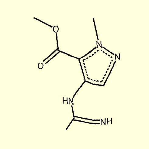 COC(=O)c1c(NC(C)=N)cnn1C